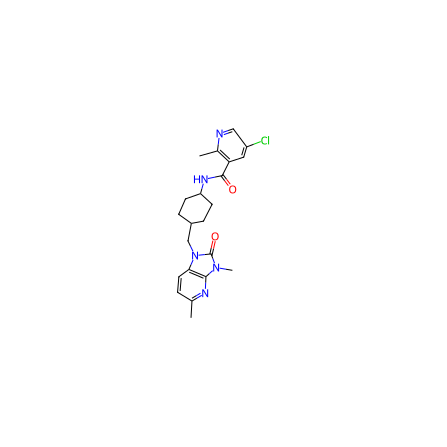 Cc1ccc2c(n1)n(C)c(=O)n2CC1CCC(NC(=O)c2cc(Cl)cnc2C)CC1